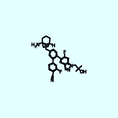 CC(C)(O)Cn1ncc2cc(-c3ccc(CN4[C@@H]5CCC[C@@]4(N)CC5)cc3-c3ccc(C#N)c(F)c3)c(F)cc21